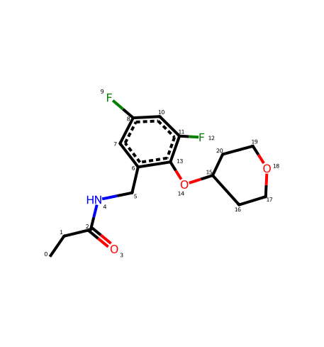 CCC(=O)NCc1cc(F)cc(F)c1OC1CCOCC1